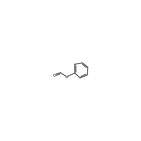 O=C[N]c1ccccc1